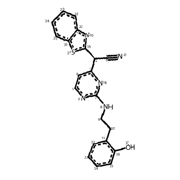 N#CC(c1ccnc(NCCc2ccccc2O)n1)c1nc2ccccc2s1